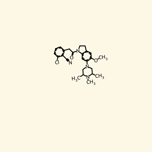 COc1cc2c(cc1N1CC(C)N(C)C(C)C1)N(C(=O)Cc1cccc(Cl)c1C#N)CC2